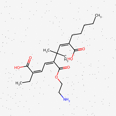 CCCCCC(=CC(C)(C)C(=CC=C(CC)C(=O)O)C(=O)OCCN)C(=O)O